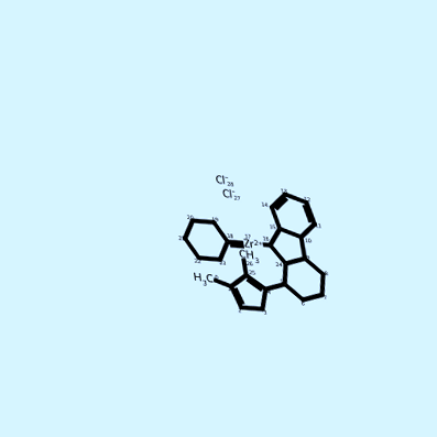 CC1=CCC(C2CCCC3C4C=CC=CC4[CH]([Zr+2]=[C]4CCCCC4)C23)=C1C.[Cl-].[Cl-]